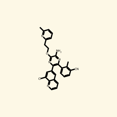 Cc1cccc(CCOc2nc(-c3cc(Cl)c4ncccc4c3)c(-c3cccc(C#N)c3C)nc2N)n1